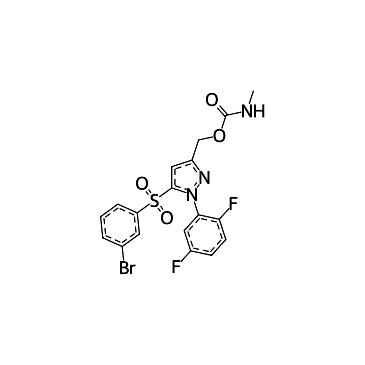 CNC(=O)OCc1cc(S(=O)(=O)c2cccc(Br)c2)n(-c2cc(F)ccc2F)n1